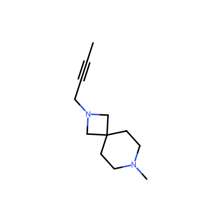 CC#CCN1CC2(CCN(C)CC2)C1